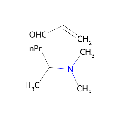 C=CC=O.CCCC(C)N(C)C